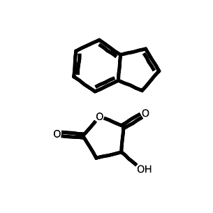 C1=Cc2ccccc2C1.O=C1CC(O)C(=O)O1